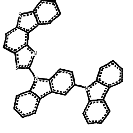 c1ccc2c(c1)sc1ccc3sc(-n4c5ccccc5c5cc(-n6c7ccccc7c7ccccc76)ccc54)nc3c12